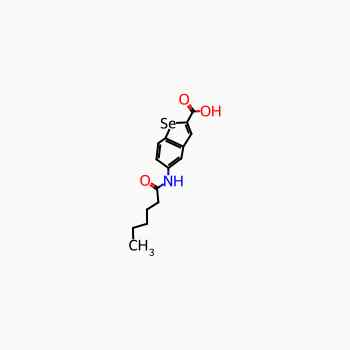 CCCCCC(=O)Nc1ccc2[se]c(C(=O)O)cc2c1